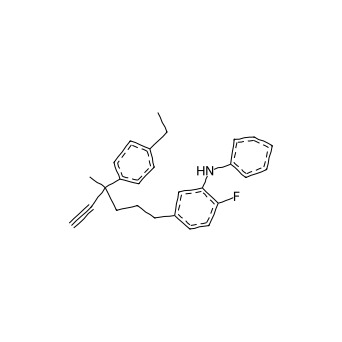 C#CC(C)(CCCc1ccc(F)c(Nc2ccccc2)c1)c1ccc(CC)cc1